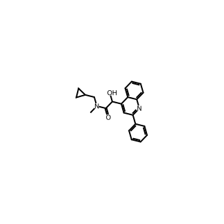 CN(CC1CC1)C(=O)C(O)c1cc(-c2ccccc2)nc2ccccc12